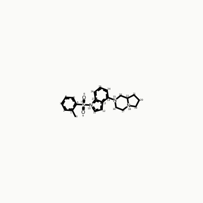 Cc1ccccc1S(=O)(=O)n1ccc2c(N3CCN4CCCC4C3)cccc21